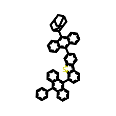 c1ccc(-c2c3ccccc3c(-c3cccc4c3sc3cc(-c5c6ccccc6c(C6C7CC8CC(C7)CC6C8)c6ccccc56)ccc34)c3ccccc23)cc1